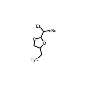 CCCCC(CC)C1OCC(CN)O1